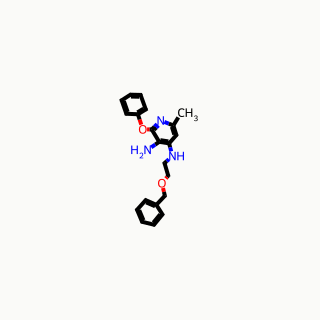 Cc1cc(NCCOCc2ccccc2)c(N)c(Oc2ccccc2)n1